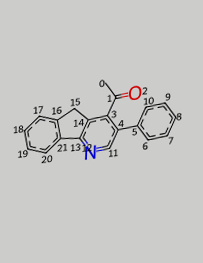 CC(=O)c1c(-c2ccccc2)cnc2c1Cc1ccccc1-2